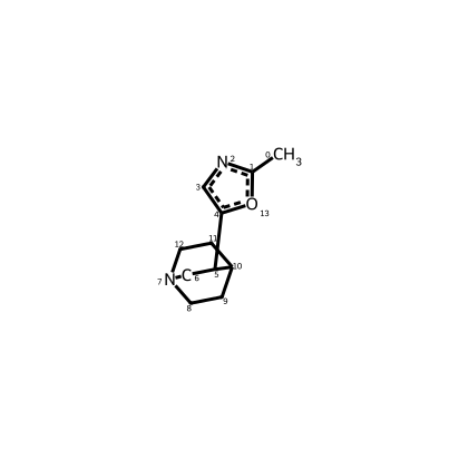 Cc1ncc(C2CN3CCC2CC3)o1